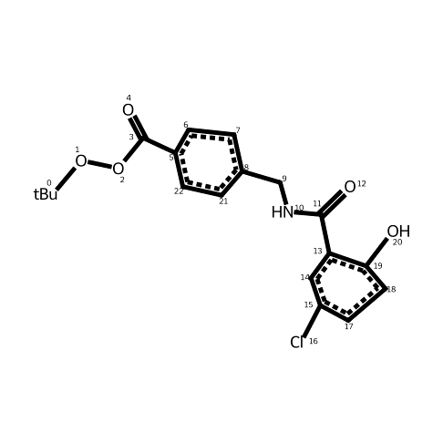 CC(C)(C)OOC(=O)c1ccc(CNC(=O)c2cc(Cl)ccc2O)cc1